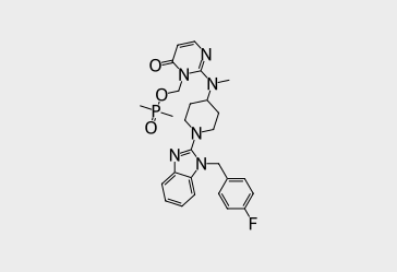 CN(c1nccc(=O)n1COP(C)(C)=O)C1CCN(c2nc3ccccc3n2Cc2ccc(F)cc2)CC1